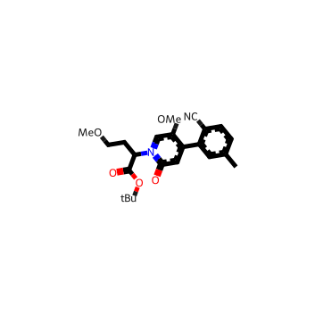 COCCC(C(=O)OC(C)(C)C)n1cc(OC)c(-c2cc(C)ccc2C#N)cc1=O